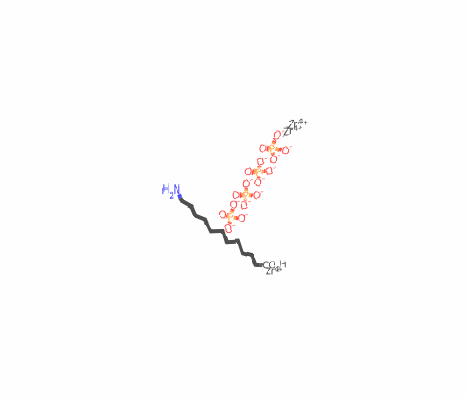 NCCCCCCCCCCCC(=O)O.O=P([O-])([O-])[O-].O=P([O-])([O-])[O-].O=P([O-])([O-])[O-].O=P([O-])([O-])[O-].[Zr+4].[Zr+4].[Zr+4]